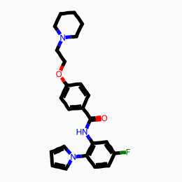 O=C(Nc1cc(F)ccc1-n1cccc1)c1ccc(OCCN2CCCCC2)cc1